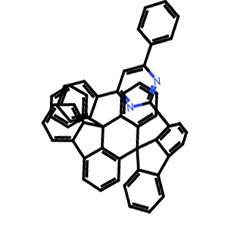 c1ccc(-c2cc(-c3ccccc3)nc(-c3cccc4c3C3(c5ccccc5-4)c4ccccc4C4(c5ccccc5)c5ccccc5-c5cccc3c54)n2)cc1